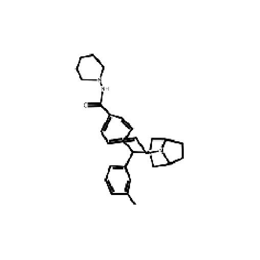 C=CCN1C2CCC1CN(C(c1ccc(C(=O)NN3CCCCC3)cc1)c1cccc(C)c1)C2